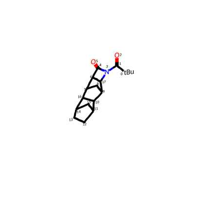 CC(C)(C)C(=O)N1C(=O)C2C3CC(C4C5CCC(C5)C34)C21